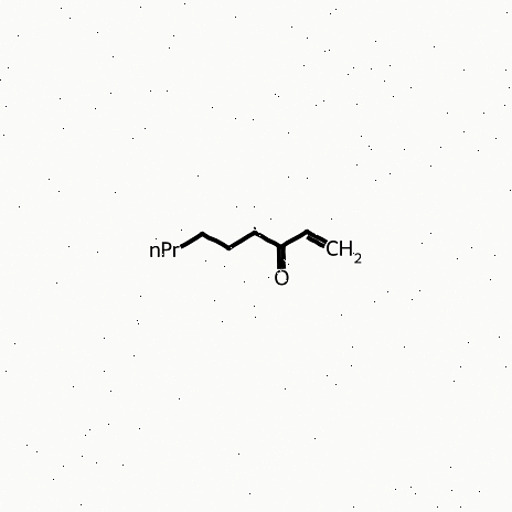 C=CC(=O)[CH]CCCCC